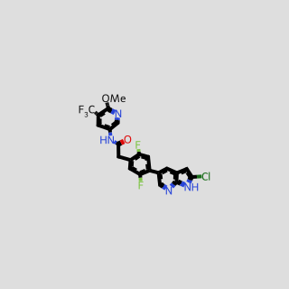 COc1ncc(NC(=O)Cc2cc(F)c(-c3cnc4[nH]c(Cl)cc4c3)cc2F)cc1C(F)(F)F